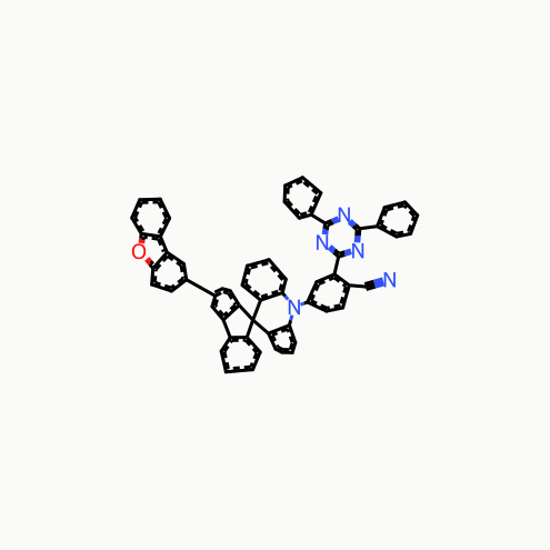 N#Cc1ccc(N2c3ccccc3C3(c4ccccc4-c4cc(-c5ccc6oc7ccccc7c6c5)ccc43)c3ccccc32)cc1-c1nc(-c2ccccc2)nc(-c2ccccc2)n1